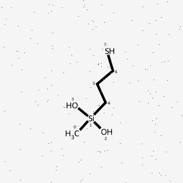 C[Si](O)(O)CCCS